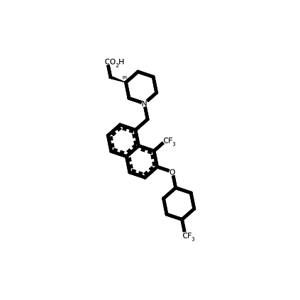 O=C(O)C[C@H]1CCCN(Cc2cccc3ccc(OC4CCC(C(F)(F)F)CC4)c(C(F)(F)F)c23)C1